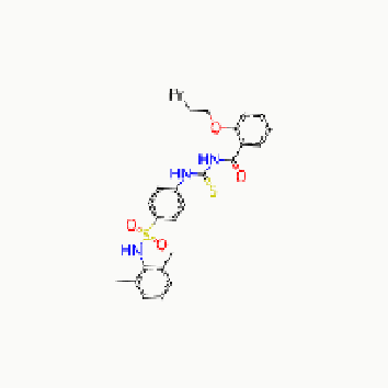 Cc1cccc(C)c1NS(=O)(=O)c1ccc(NC(=S)NC(=O)c2ccccc2OCCC(C)C)cc1